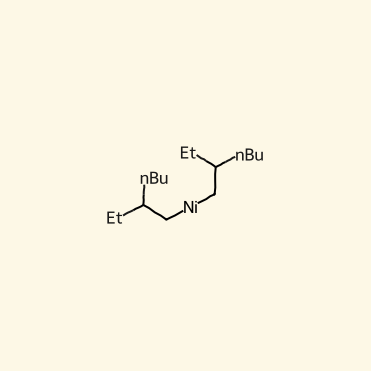 CCCCC(CC)[CH2][Ni][CH2]C(CC)CCCC